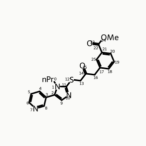 CCCn1c(-c2cccnc2)cnc1SCC(=O)Cc1cccc(C(=O)OC)c1